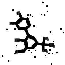 CC(C)(C)c1cc(C=O)c(O)c(-c2ccc(Cl)c(F)c2)c1